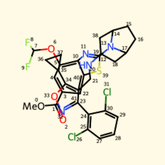 COC(=O)c1cc(OC(F)F)c2nc(N3C4CCC3CC(NCc3c(-c5c(Cl)cccc5Cl)noc3C3CC3)C4)sc2c1